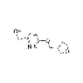 OCc1ccc(OCC2CCOC2)nn1